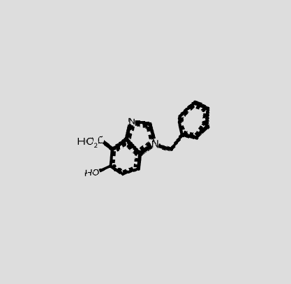 O=C(O)c1c(O)ccc2c1ncn2Cc1ccccc1